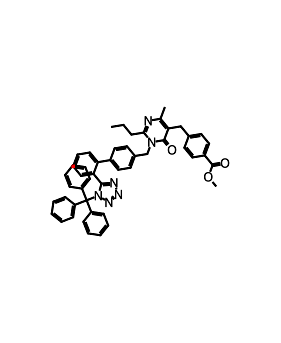 CCCc1nc(C)c(Cc2ccc(C(=O)OC)cc2)c(=O)n1Cc1ccc(-c2ccccc2-c2nnnn2C(c2ccccc2)(c2ccccc2)c2ccccc2)cc1